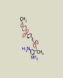 C=CCOC1CCC(OC(=O)c2ccc(/C=C/C(=O)OCC(C)c3cc(N)cc(N)c3)cc2)CC1